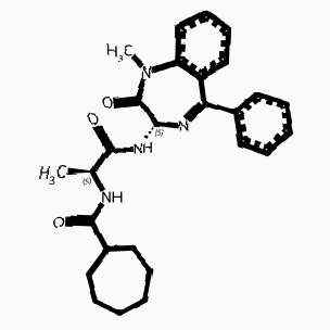 C[C@H](NC(=O)C1CCCCCC1)C(=O)N[C@H]1N=C(c2ccccc2)c2ccccc2N(C)C1=O